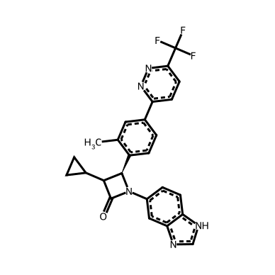 Cc1cc(-c2ccc(C(F)(F)F)nn2)ccc1[C@@H]1C(C2CC2)C(=O)N1c1ccc2[nH]cnc2c1